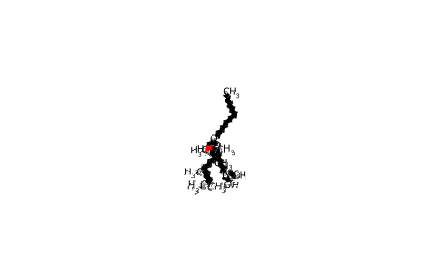 CCCCCCCC/C=C\CCCCCCCCOC(CC(C)CCCC(C)CCCC(C)CCCC(C)C)O[Si](C)(C)OCCCCCCN(CCO)CCO